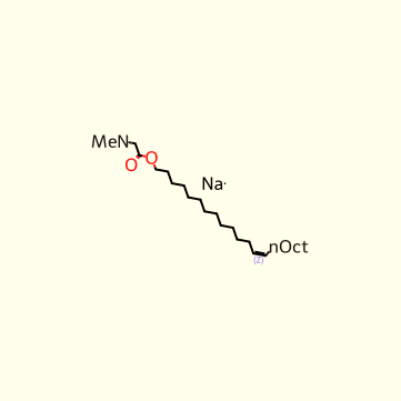 CCCCCCCC/C=C\CCCCCCCCCCCCOC(=O)CNC.[Na]